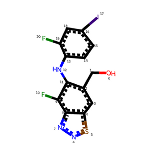 OCc1cc2snnc2c(F)c1Nc1ccc(I)cc1F